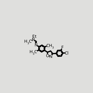 CCN(C)C=Nc1cc(C)c(C2CC(c3ccc(Cl)c(F)c3)=NO2)cc1C